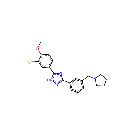 COc1ccc(-c2nc(-c3cccc(CN4CCCC4)c3)n[nH]2)cc1Cl